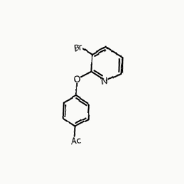 CC(=O)c1ccc(Oc2ncccc2Br)cc1